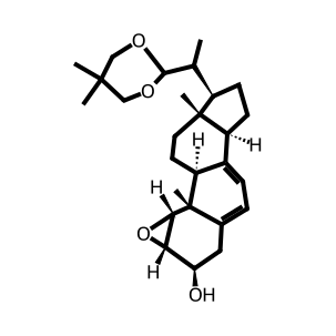 CC(C1OCC(C)(C)CO1)[C@H]1CC[C@H]2C3=CC=C4C[C@@H](O)[C@@H]5O[C@@H]5[C@]4(C)[C@H]3CC[C@]12C